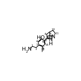 NCCc1ccc(C2CC3CCN(N2)C3C(=O)O)cc1F